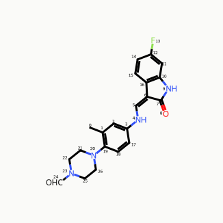 Cc1cc(N/C=C2\C(=O)Nc3cc(F)ccc32)ccc1N1CCN(C=O)CC1